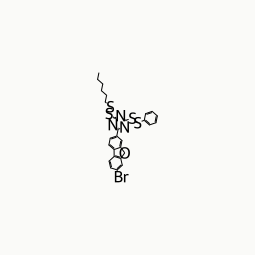 CCCCCCSSc1nc(SSc2ccccc2)nc(-c2ccc3c(c2)oc2cc(Br)ccc23)n1